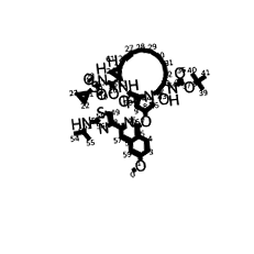 COc1ccc2c(OC3C[C@H]4C(=O)N[C@]5(C(=O)NS(=O)(=O)C6CC6)C[C@H]5/C=C\CCCCC[C@H](NC(=O)OC(C)(C)C)C(=O)N4C3)nc(-c3csc(NC(C)C)n3)cc2c1